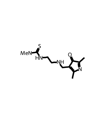 CNC(=S)NCCNCC1=C(C)N=C(C)C1=O